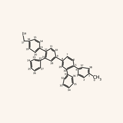 Cc1ccc(-c2ccc(-c3ccc(-c4ccc(CI)cc4)c(-c4ccccc4)c3)cc2-c2ccccc2)cc1